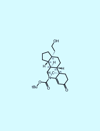 CC(C)(C)OC(=O)N1C[C@H]2[C@@H]3CCC[C@@]3(CCO)CC[C@@H]2[C@@]2(C)CCC(=O)C=C12